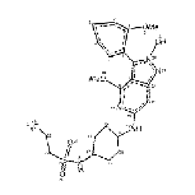 COc1ccccc1-c1c2c(OC)nc(NC3CCC(NS(=O)(=O)CCC(F)(F)F)CC3)nc2nn1O